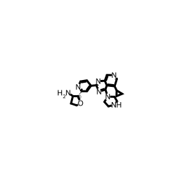 NC1CCO[C@H]1c1cc(-c2nc(N3CCNCC3)c3c(C4CC4)cncc3n2)ccn1